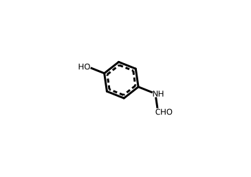 O=CNc1ccc(O)cc1